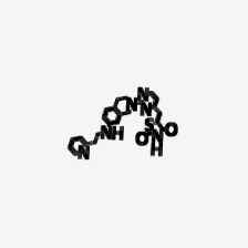 O=C1NC(=O)C(=Cc2ccnc(N3CCc4ccc(NCCc5ccccn5)cc4C3)n2)S1